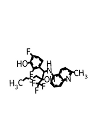 CCSCC(O)(C(Nc1cccc2nc(C)ccc12)c1ccc(F)c(O)c1F)C(F)(F)F